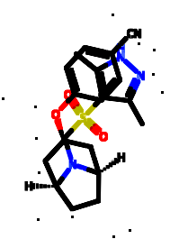 Cc1n[nH]c(C)c1S(=O)(=O)CN1[C@@H]2CC[C@H]1C[C@@H](Oc1ccc(C#N)cc1)C2